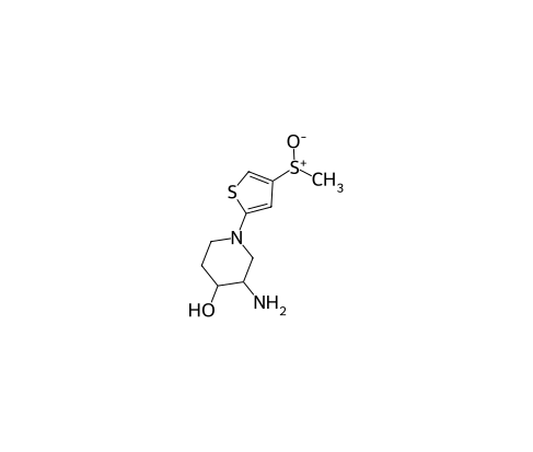 C[S+]([O-])c1csc(N2CCC(O)C(N)C2)c1